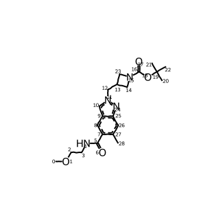 COCCNC(=O)c1cc2cn(CC3CN(C(=O)OC(C)(C)C)C3)nc2cc1C